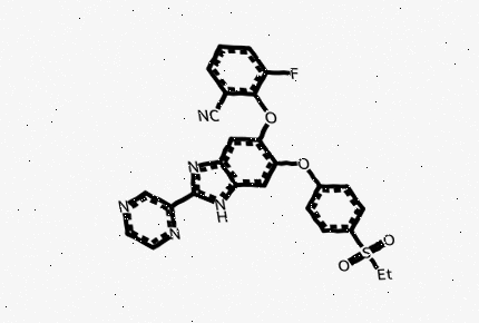 CCS(=O)(=O)c1ccc(Oc2cc3[nH]c(-c4cnccn4)nc3cc2Oc2c(F)cccc2C#N)cc1